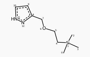 C[Si](C)(C)CCOCc1cc[nH]n1